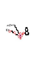 CCCCCCCCCCCCCCCCOP(=O)(OCCOCCOCC)OOc1cccc2ccccc12